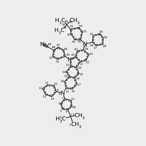 CC(C)(C)c1ccc(N(c2ccccc2)c2ccc3cc4c5ccc(N(c6ccccc6)c6ccc(C(C)(C)C)cc6)cc5n(-c5ccc(C#N)cc5)c4cc3c2)cc1